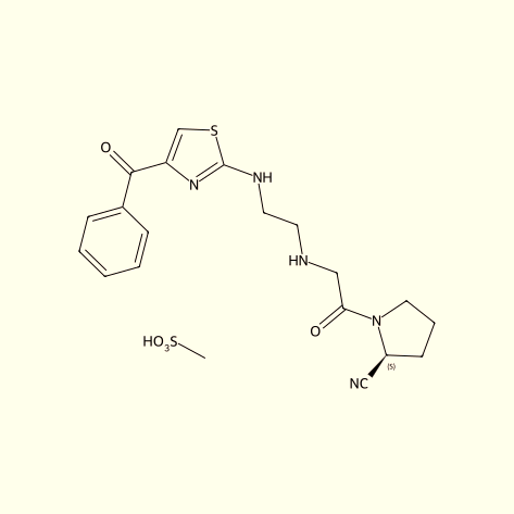 CS(=O)(=O)O.N#C[C@@H]1CCCN1C(=O)CNCCNc1nc(C(=O)c2ccccc2)cs1